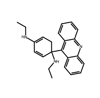 CCNC1=CCC(NCC)(c2c3ccccc3nc3ccccc23)C=C1